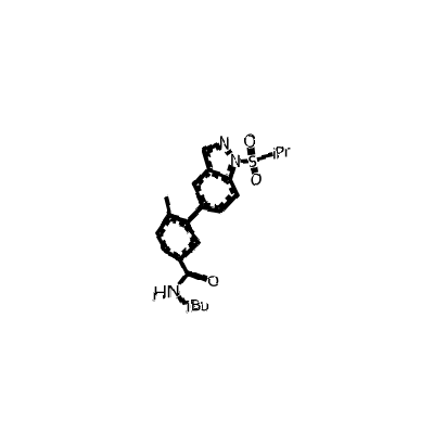 CCC(C)NC(=O)c1ccc(C)c(-c2ccc3c(cnn3S(=O)(=O)C(C)C)c2)c1